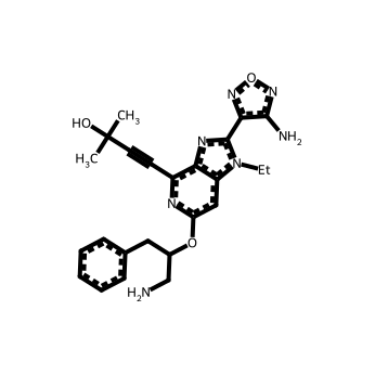 CCn1c(-c2nonc2N)nc2c(C#CC(C)(C)O)nc(OC(CN)Cc3ccccc3)cc21